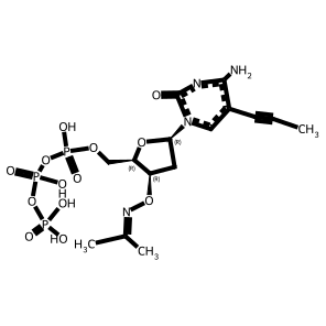 CC#Cc1cn([C@H]2C[C@@H](ON=C(C)C)[C@@H](COP(=O)(O)OP(=O)(O)OP(=O)(O)O)O2)c(=O)nc1N